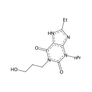 CCCn1c(=O)n(CCCO)c(=O)c2[nH]c(CC)nc21